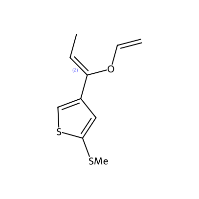 C=CO/C(=C\C)c1csc(SC)c1